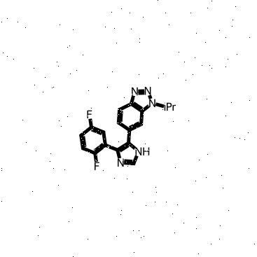 CC(C)n1nnc2ccc(-c3[nH]cnc3-c3cc(F)ccc3F)cc21